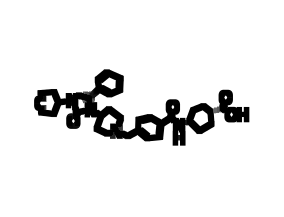 O=C(N[C@H]1CC[C@@H](C(=O)O)CC1)c1ccc(CN2CCC(N3C(=O)N(C4CCCCC4)C[C@H]3c3ccccc3)CC2)cc1